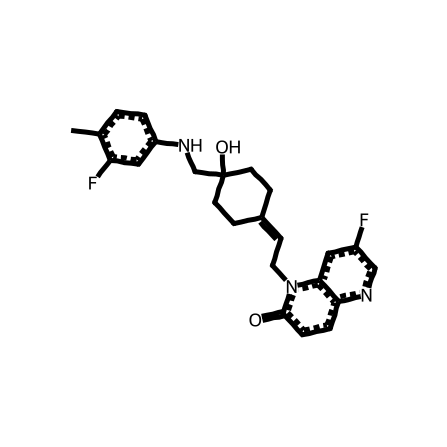 Cc1ccc(NCC2(O)CCC(=CCn3c(=O)ccc4ncc(F)cc43)CC2)cc1F